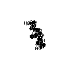 O=C(O)NC(C(=O)N1CCCC1c1nc2cc([C@H]3CC[C@@H](c4cc5nc(C6CCCN6C(=O)[C@@H](NC(=O)O)C6CCCC6)[nH]c5cc4F)N3c3cc(F)c(N4CCCCC4)c(F)c3)c(F)cc2[nH]1)C1CCCC1